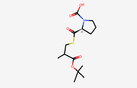 CC(CSC(=O)[C@@H]1CCCN1C(=O)O)C(=O)OC(C)(C)C